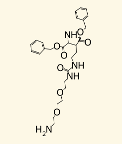 NCCOCCOCCNC(=O)NCCC(C(=O)OCc1ccccc1)C(N)C(=O)OCc1ccccc1